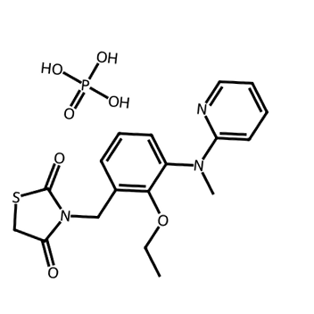 CCOc1c(CN2C(=O)CSC2=O)cccc1N(C)c1ccccn1.O=P(O)(O)O